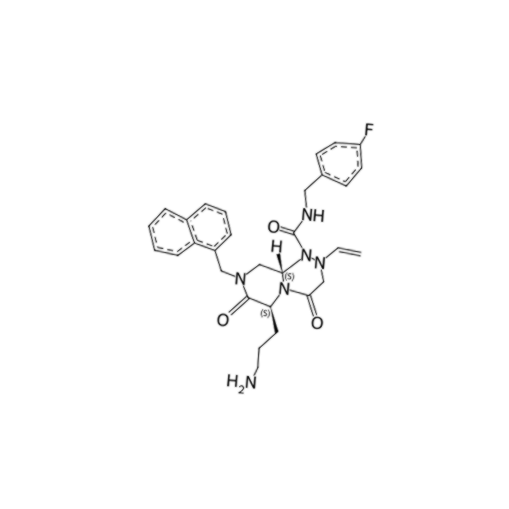 C=CN1CC(=O)N2[C@@H](CCCN)C(=O)N(Cc3cccc4ccccc34)C[C@@H]2N1C(=O)NCc1ccc(F)cc1